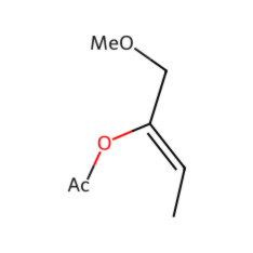 CC=C(COC)OC(C)=O